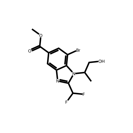 COC(=O)c1cc(Br)c2c(c1)nc(C(F)F)n2C(C)CO